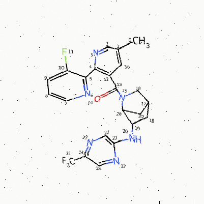 Cc1cnc(-c2ncccc2F)c(C(=O)N2CC3CC(Nc4cnc(C(F)(F)F)cn4)C2C3)c1